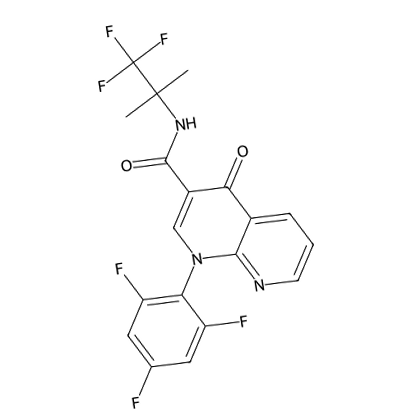 CC(C)(NC(=O)c1cn(-c2c(F)cc(F)cc2F)c2ncccc2c1=O)C(F)(F)F